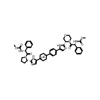 COC(=O)N[C@@H](C(=O)N1CCOC[C@H]1c1ncc(-c2ccc(C34CCC(c5cnc([C@@H]6CCCN6C(=O)[C@H](NC(=O)OC)c6ccccc6)[nH]5)(CC3)CC4)cc2)[nH]1)c1ccccc1